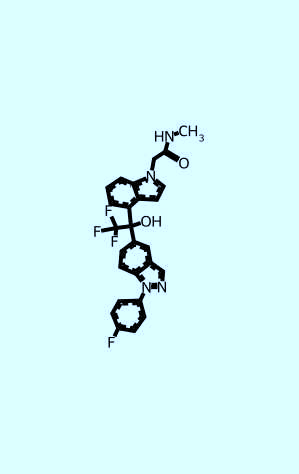 CNC(=O)Cn1ccc2c(C(O)(c3ccc4c(cnn4-c4ccc(F)cc4)c3)C(F)(F)F)cccc21